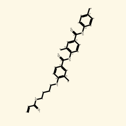 C=CC(=O)OCCCCOc1ccc(C(=O)Oc2ccc(C(=O)Oc3ccc(C)cc3)cc2C)cc1C